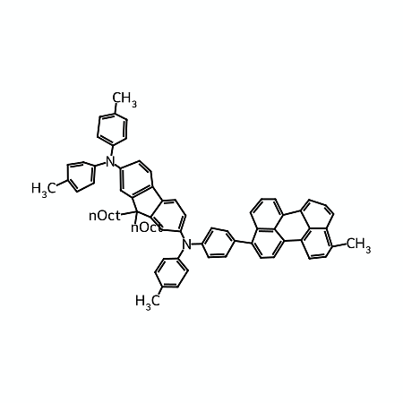 CCCCCCCCC1(CCCCCCCC)c2cc(N(c3ccc(C)cc3)c3ccc(C)cc3)ccc2-c2ccc(N(c3ccc(C)cc3)c3ccc(-c4ccc5c6ccc(C)c7cccc(c8cccc4c85)c76)cc3)cc21